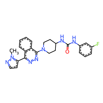 Cn1nccc1-c1nnc(N2CCC(NC(=O)Nc3cccc(F)c3)CC2)c2ccccc12